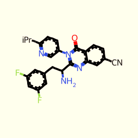 CC(C)c1ccc(-n2c(C(N)Cc3cc(F)cc(F)c3)nc3cc(C#N)ccc3c2=O)cn1